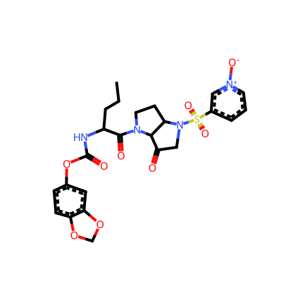 CCCC(NC(=O)Oc1ccc2c(c1)OCO2)C(=O)N1CCC2C1C(=O)CN2S(=O)(=O)c1ccc[n+]([O-])c1